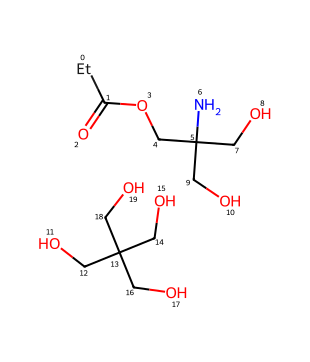 CCC(=O)OCC(N)(CO)CO.OCC(CO)(CO)CO